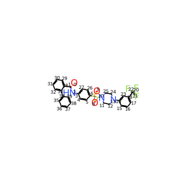 O=C(Nc1ccc(S(=O)(=O)N2CCN(c3cccc(C(F)(F)F)c3)CC2)cc1)c1ccccc1-c1ccccc1